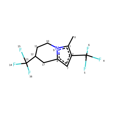 Cc1c(C(F)(F)F)cc2n1CCC(C(F)(F)F)C2